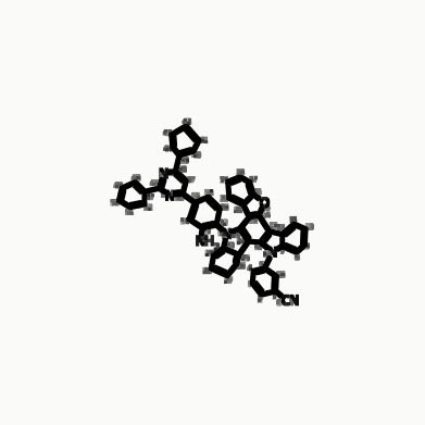 N#Cc1cccc(-n2c3ccccc3c3c4oc5ccccc5c4c4c(c5ccccc5n4-c4ccc(-c5cc(-c6ccccc6)nc(-c6ccccc6)n5)cc4N)c32)c1